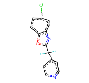 FC(F)(c1ccncc1)c1nc2cc(Cl)ccc2o1